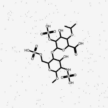 COC1OC(COS(=O)(=O)O)C(OC2OC(C(=O)O)C(OC(C)C)C(O)C2OS(=O)(=O)O)C(O)C1NS(=O)(=O)O